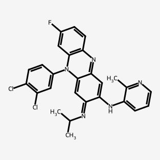 Cc1ncccc1Nc1cc2nc3ccc(F)cc3n(-c3ccc(Cl)c(Cl)c3)c-2c/c1=N\C(C)C